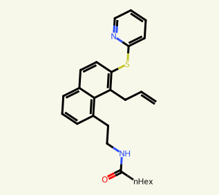 C=CCc1c(Sc2ccccn2)ccc2cccc(CCNC(=O)CCCCCC)c12